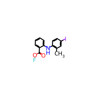 Cc1cc(I)ccc1Nc1ccccc1C(=O)OF